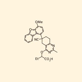 CCC(Oc1nc(C)nc2c1CC(C#N)(c1ccc(OC)c3oc4ccccc4c13)CC2)C(=O)O